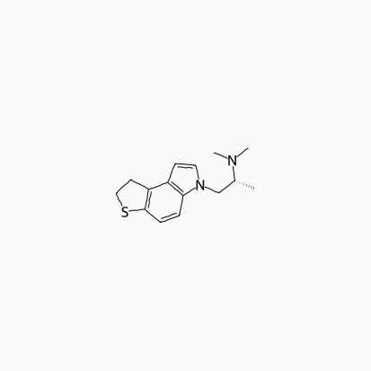 C[C@H](Cn1ccc2c3c(ccc21)SCC3)N(C)C